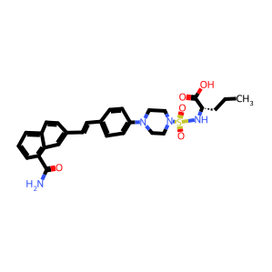 CCC[C@H](NS(=O)(=O)N1CCN(c2ccc(/C=C/c3ccc4cccc(C(N)=O)c4c3)cc2)CC1)C(=O)O